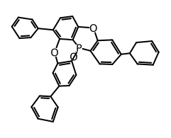 O=P12c3ccc(C4C=CC=CC4)cc3Oc3ccc(-c4ccccc4)c(c31)Oc1cc(-c3ccccc3)ccc12